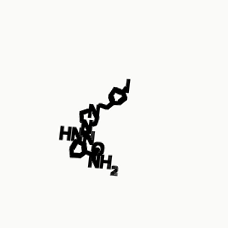 NC(=O)c1cccc2[nH]c(N3CCCN(CCc4ccc(I)cc4)CC3)nc12